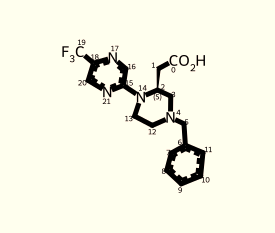 O=C(O)C[C@H]1CN(Cc2ccccc2)CCN1c1cnc(C(F)(F)F)cn1